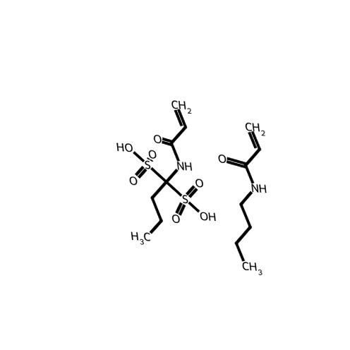 C=CC(=O)NC(CCC)(S(=O)(=O)O)S(=O)(=O)O.C=CC(=O)NCCCC